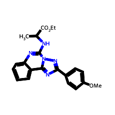 CCOC(=O)C(C)Nc1nc2ccccc2c2nc(-c3ccc(OC)cc3)nn12